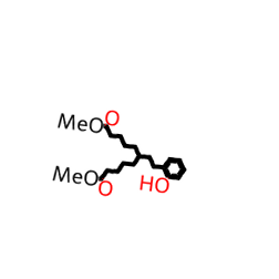 COC(=O)CCCCC(CCCCC(=O)OC)CCc1ccccc1O